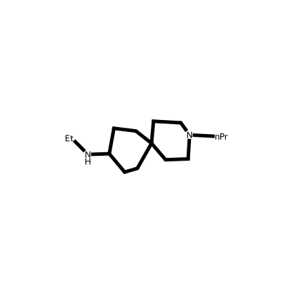 CCCN1CCC2(CCC(NCC)CC2)CC1